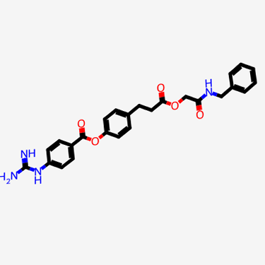 N=C(N)Nc1ccc(C(=O)Oc2ccc(CCC(=O)OCC(=O)NCc3ccccc3)cc2)cc1